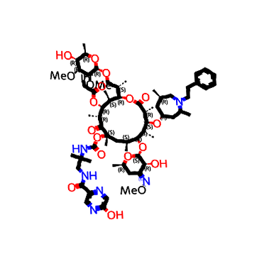 CO/N=C1\C[C@@H](C)O[C@@H](O[C@@H]2[C@@H](C)[C@H](O[C@H]3CC(C)N(CCc4ccccc4)C[C@H](C)C3)[C@@H](C)C(=O)O[C@H]([C@@H](C)CO[C@@H]3O[C@H](C)[C@@H](O)[C@@H](OC)[C@H]3OC)[C@H](C)[C@@H](OC(=O)CC(C)C)[C@@H](C)C(=O)[C@@](C)(OC(=O)NC(C)(C)CNC(=O)c3cnc(O)cn3)C[C@@H]2C)[C@@H]1O